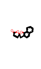 O=C1C=CC2(Cc3ccc4ccccc4c3O2)O1